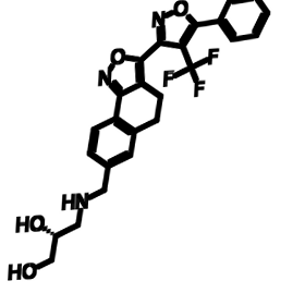 OC[C@H](O)CNCc1ccc2c(c1)CCc1c-2noc1-c1noc(-c2ccccc2)c1C(F)(F)F